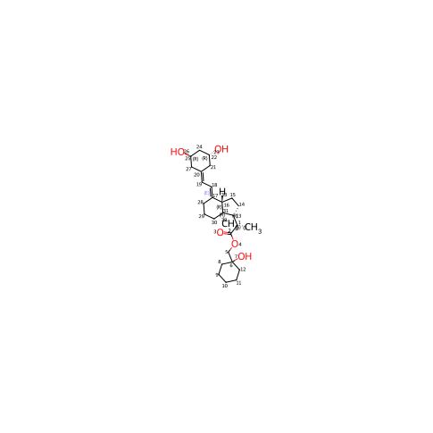 C[C@H](C(=O)OCC1(O)CCCCC1)[C@H]1CC[C@H]2/C(=C/C=C3C[C@@H](O)C[C@H](O)C3)CCC[C@]12C